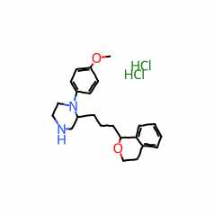 COc1ccc(N2CCNCC2CCCC2OCCc3ccccc32)cc1.Cl.Cl